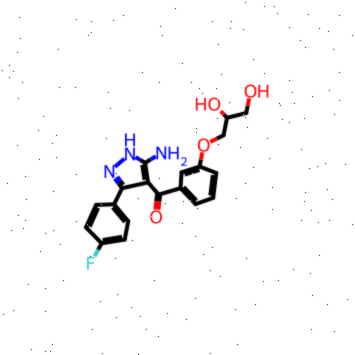 Nc1[nH]nc(-c2ccc(F)cc2)c1C(=O)c1cccc(OCC(O)CO)c1